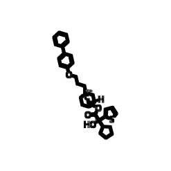 O=C(O[C@H]1C[N+]2(CCCOc3ccc(-c4ccccc4)cc3)CCC1CC2)[C@](O)(c1cccs1)C1CCCC1